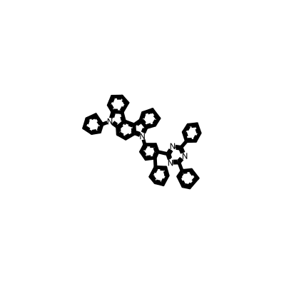 c1ccc(-c2nc(-c3ccccc3)nc(-c3cc(-n4c5ccccc5c5c6c7ccccc7n(-c7ccccc7)c6ccc54)ccc3-c3ccccc3)n2)cc1